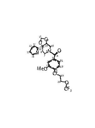 COc1cc(C(=O)N2CC[C@@]3(c4ccccn4)OCOC3C2)ccc1OCCOC(F)(F)F